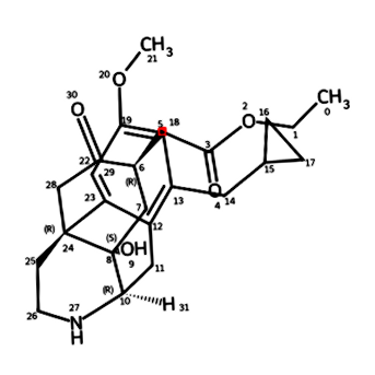 CCOC(=O)C[C@H]1C[C@@]2(O)[C@H]3Cc4c(CC5CC5)cc(OC)cc4[C@@]2(CCN3)CC1=O